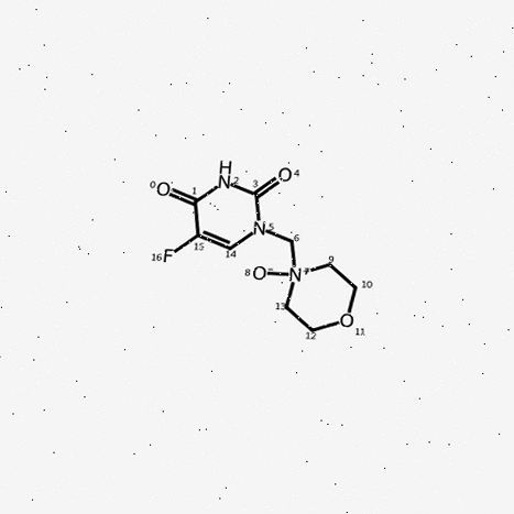 O=c1[nH]c(=O)n(C[N+]2([O-])CCOCC2)cc1F